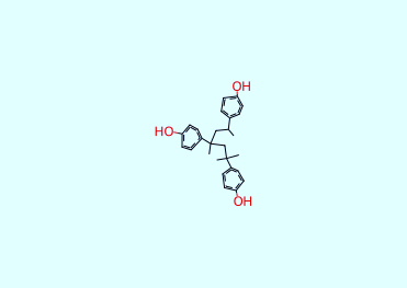 CC(CC(C)(CC(C)(C)c1ccc(O)cc1)c1ccc(O)cc1)c1ccc(O)cc1